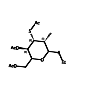 CCSC1OC(COC(C)=O)[C@@H](OC(C)=O)[C@H](SC(C)=O)[C@@H]1C